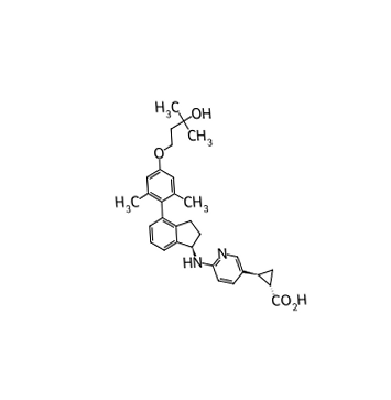 Cc1cc(OCCC(C)(C)O)cc(C)c1-c1cccc2c1CC[C@H]2Nc1ccc([C@H]2C[C@@H]2C(=O)O)cn1